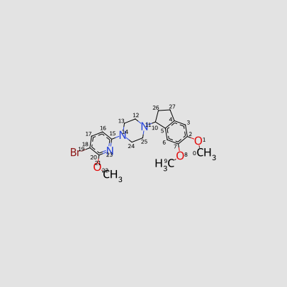 COc1cc2c(cc1OC)C(N1CCN(c3ccc(Br)c(OC)n3)CC1)CC2